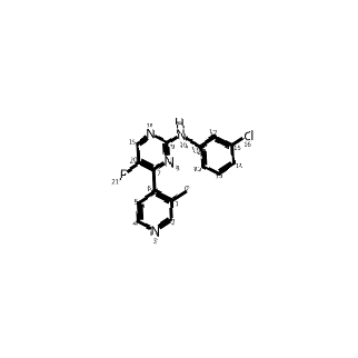 Cc1cnccc1-c1nc(Nc2cccc(Cl)c2)ncc1F